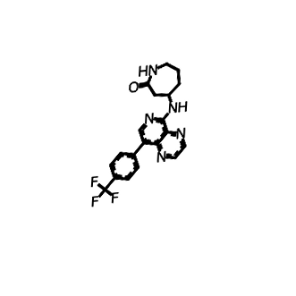 O=C1CC(Nc2ncc(-c3ccc(C(F)(F)F)cc3)c3nccnc23)CCCN1